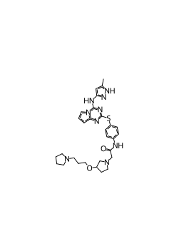 Cc1cc(Nc2nc(Sc3ccc(NC(=O)CN4CCC(OCCCN5CCCC5)C4)cc3)nc3cccn23)n[nH]1